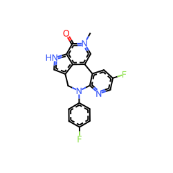 Cn1cc2c3c(c[nH]c3c1=O)CN(c1ccc(F)cc1)c1ncc(F)cc1-2